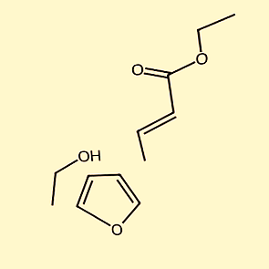 C/C=C/C(=O)OCC.CCO.c1ccoc1